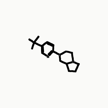 CC(C)(C)c1ccc(N2CCN3CCCC3C2)nc1